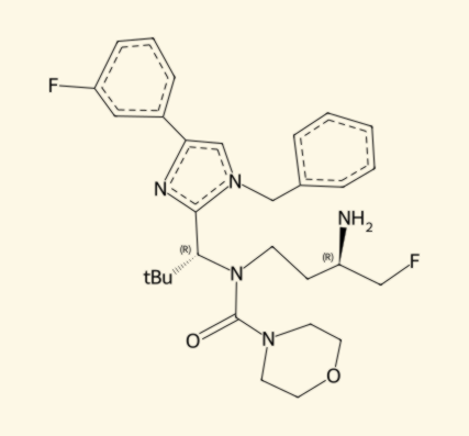 CC(C)(C)[C@H](c1nc(-c2cccc(F)c2)cn1Cc1ccccc1)N(CC[C@@H](N)CF)C(=O)N1CCOCC1